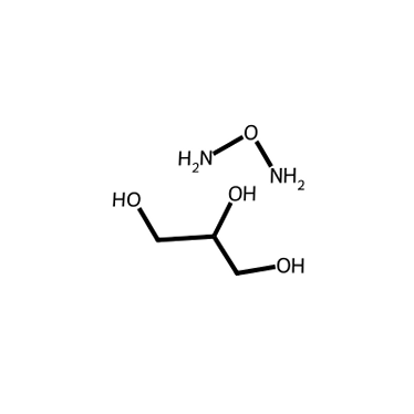 NON.OCC(O)CO